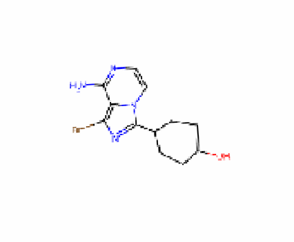 Nc1nccn2c(C3CCC(O)CC3)nc(Br)c12